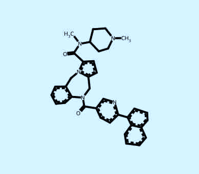 CN1CCC(N(C)C(=O)c2ccc3n2Cc2ccccc2N(C(=O)c2ccc(-c4cccc5ccccc45)nc2)C3)CC1